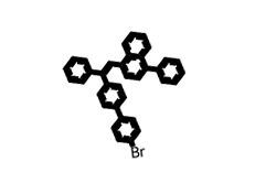 Brc1ccc(-c2ccc(/C(=C\c3ccc(-c4ccccc4)c4ccccc34)c3ccccc3)cc2)cc1